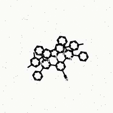 Cc1ccc(-c2ccc3c4ccc(-c5ccc(C)cc5C)cc4n(-c4c(-c5cc(-c6ccccc6)nc(-c6ccccc6)n5)cc(C#N)cc4-c4nc(-c5ccccc5)cc(-c5ccccc5)n4)c3c2)c(C)c1